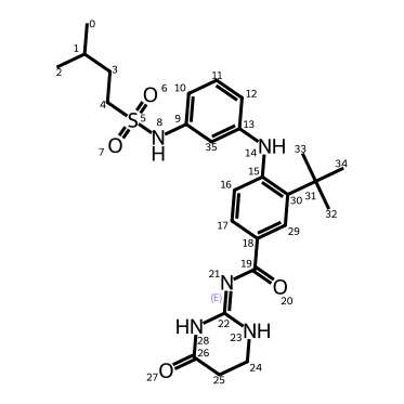 CC(C)CCS(=O)(=O)Nc1cccc(Nc2ccc(C(=O)/N=C3\NCCC(=O)N3)cc2C(C)(C)C)c1